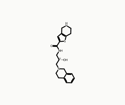 O=C(NC[C@H](O)CN1CCc2ccccc2C1)c1cc2c(s1)CCNC2